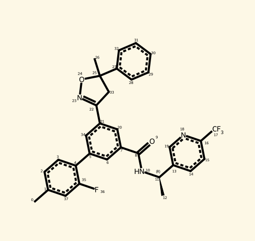 Cc1ccc(-c2cc(C(=O)N[C@H](C)c3ccc(C(F)(F)F)nc3)cc(C3=NOC(C)(c4ccccc4)C3)c2)c(F)c1